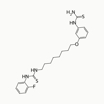 NC(=S)Nc1cccc(OCCCCCCCCNC(=S)Nc2ccccc2F)c1